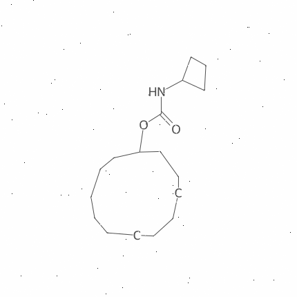 O=C(NC1CCC1)OC1CCCCCCCCCCC1